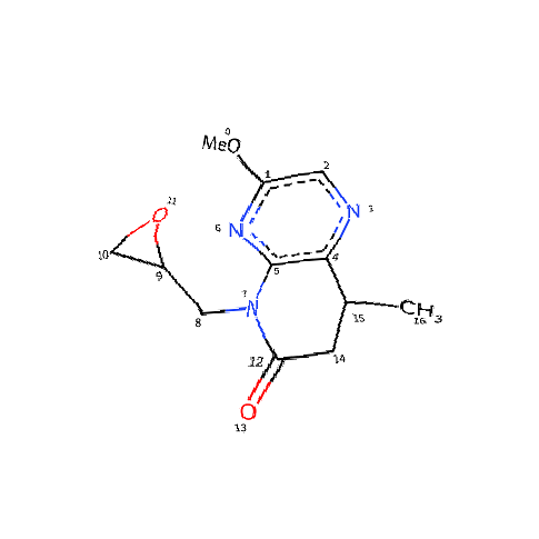 COc1cnc2c(n1)N(CC1CO1)C(=O)CC2C